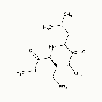 COC(=O)C(CC(C)C)N[C@@H](CCN)C(=O)OC